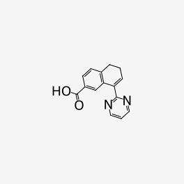 O=C(O)c1ccc2c(c1)C(c1ncccn1)=CCC2